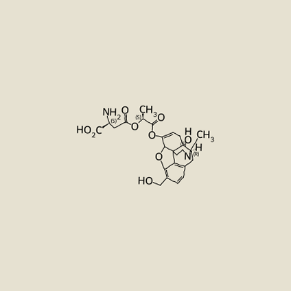 C[C@H](OC(=O)C[C@H](N)C(=O)O)C(=O)OC1=CC[C@@]2(O)[C@H]3Cc4ccc(CO)c5c4C2(CCN3C)C1O5